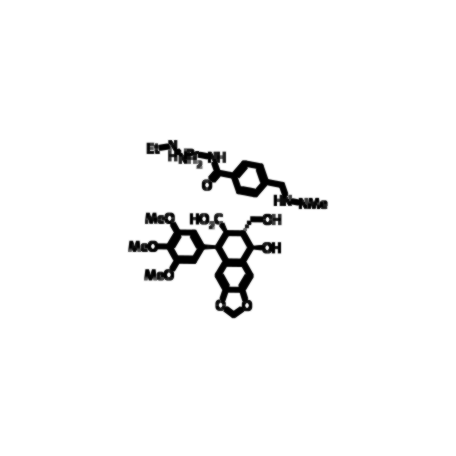 CCNN.CNNCc1ccc(C(=O)NC(C)C)cc1.COc1cc([C@@H]2c3cc4c(cc3[C@H](O)[C@@H](CO)[C@@H]2C(=O)O)OCO4)cc(OC)c1OC